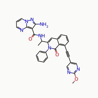 COc1ncc(C#Cc2cccc3cc(C(C)NC(=O)c4c(N)nn5cccnc45)n(-c4ccccc4)c(=O)c23)cn1